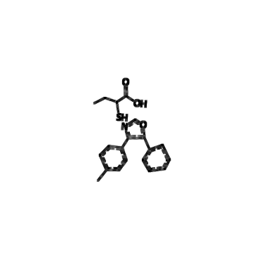 CCC(S)C(=O)O.Cc1ccc(-c2ncoc2-c2ccccc2)cc1